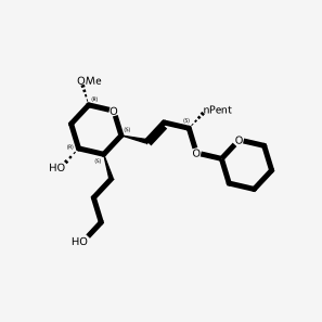 CCCCC[C@@H](C=C[C@@H]1O[C@@H](OC)C[C@@H](O)[C@@H]1CCCO)OC1CCCCO1